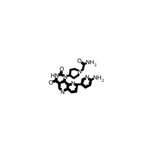 NC(=O)CN1CCC(n2c(=O)[nH]c(=O)c3cnc4ccc(-c5ccc(N)nc5)nc4c32)CC1